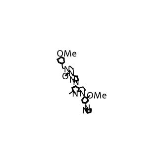 COc1ccc(CN2CCN(c3ccn(-c4cc(C)nc5c4CCN5c4ccc(-n5cccn5)cc4OC)n3)C2=O)cc1